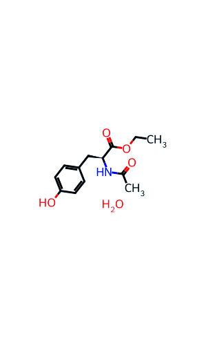 CCOC(=O)[C@H](Cc1ccc(O)cc1)NC(C)=O.O